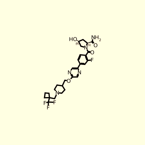 NC(=O)[C@@H]1C[C@@H](O)CN1C(=O)c1ccc(-c2cnc(OCC3CCN(CC4(C(F)(F)F)CCC4)CC3)cn2)cc1F